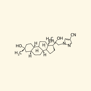 C[C@@]1(O)CC[C@H]2[C@H](CC[C@@H]3[C@@H]2CC[C@@]2(C)[C@H]3CC[C@@H]2[C@@](C)(O)Cn2cc(C#N)cn2)C1